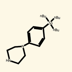 CCC[CH2][Sn]([CH2]CCC)([CH2]CCC)[c]1ccc(N2CCNCC2)cc1